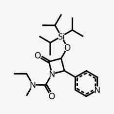 CCN(C)C(=O)N1C(=O)C(O[Si](C(C)C)(C(C)C)C(C)C)C1c1ccncc1